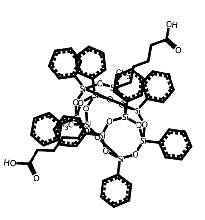 C[Si]1(CCCCC(=O)O)O[Si]2(c3ccccc3)O[Si]3(c4ccccc4)O[Si]4(c5ccccc5)O[Si](C)(CCCCC(=O)O)O[Si]5(c6ccccc6)O[Si](c6ccccc6)(O[Si](c6ccccc6)(O1)O[Si](c1ccccc1)(O5)O[Si](c1ccccc1)(O2)O4)O3